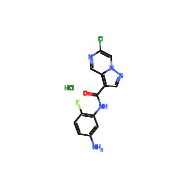 Cl.Nc1ccc(F)c(NC(=O)c2cnn3cc(Cl)ncc23)c1